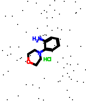 Cl.Nc1ccccc1N1CCOCC1